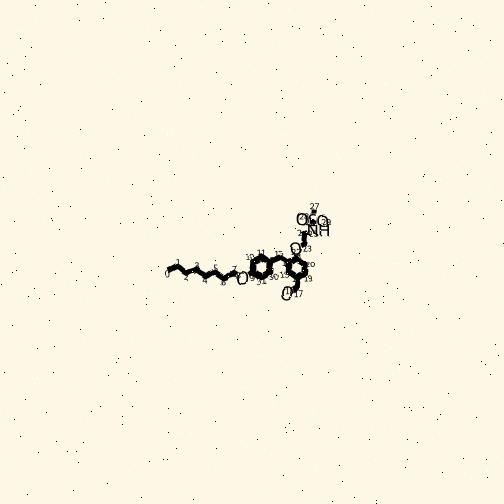 CCCCCCCCOc1ccc(Cc2cc(C=O)ccc2OCCNS(C)(=O)=O)cc1